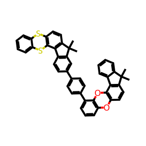 CC1(C)c2ccccc2-c2c1ccc1c2Oc2c(cccc2-c2ccc(-c3ccc4c(c3)C(C)(C)c3ccc5c(c3-4)Sc3ccccc3S5)cc2)O1